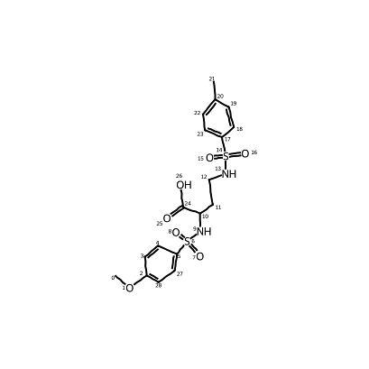 COc1ccc(S(=O)(=O)NC(CCNS(=O)(=O)c2ccc(C)cc2)C(=O)O)cc1